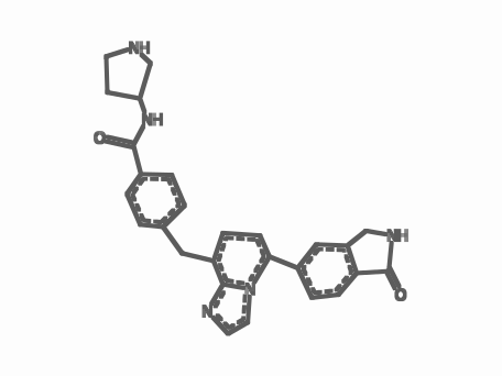 O=C(NC1CCNC1)c1ccc(Cc2ccc(-c3ccc4c(c3)CNC4=O)n3ccnc23)cc1